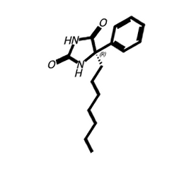 CCCCCCC[C@]1(c2ccccc2)NC(=O)NC1=O